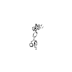 C=CC(=O)c1ccc(S(N)(=O)=O)cc1